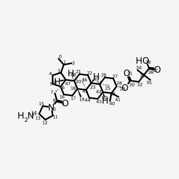 CC(C)C1CC[C@]2(CC(=O)N3CC[C@H](N)C3)CC[C@]3(C)[C@H](CC[C@@H]4[C@@]5(C)CC[C@H](OC(=O)CC(C)(C)C(=O)O)C(C)(C)[C@@H]5CC[C@]43C)[C@@H]12